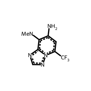 CNc1c(N)cc(C(F)(F)F)n2ncnc12